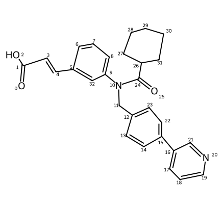 O=C(O)C=Cc1cccc(N(Cc2ccc(-c3cccnc3)cc2)C(=O)C2CCCCC2)c1